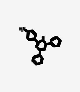 Nc1ccc(C2=NC(c3ccccc3)=CC(c3ccccc3)N2)cc1